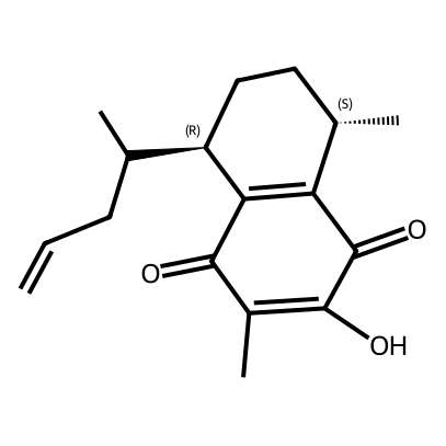 C=CCC(C)[C@H]1CC[C@H](C)C2=C1C(=O)C(C)=C(O)C2=O